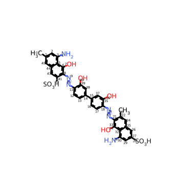 Cc1cc(N)c2c(O)c(/N=N/c3ccc(-c4ccc(/N=N/c5c(C)cc6cc(S(=O)(=O)O)cc(N)c6c5O)c(O)c4)cc3O)c(S(=O)(=O)O)cc2c1